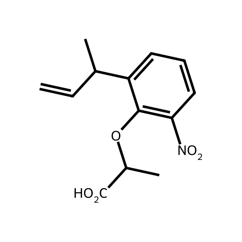 C=CC(C)c1cccc([N+](=O)[O-])c1OC(C)C(=O)O